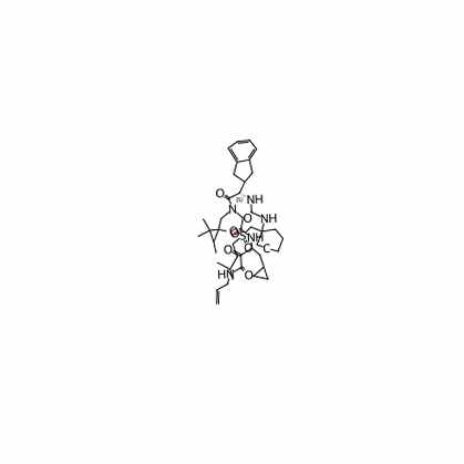 C=CCNC(=O)C(=O)C(CC1CC1)NC(=O)CN(CC1(C)C(C)C1(C)C)C(=O)[C@@H](NC(=O)NC1(CS(=O)(=O)CCC(C)C)CCCCC1)C1Cc2ccccc2C1